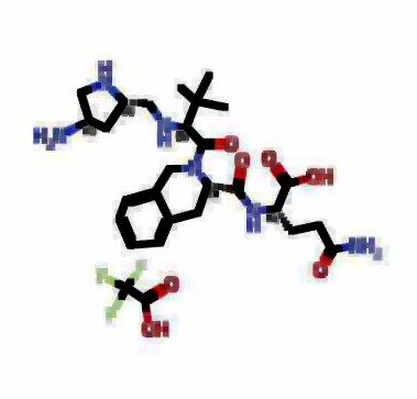 CC(C)(C)[C@H](NC[C@@H]1C[C@@H](N)CN1)C(=O)N1Cc2ccccc2C[C@H]1C(=O)N[C@@H](CCC(N)=O)C(=O)O.O=C(O)C(F)(F)F